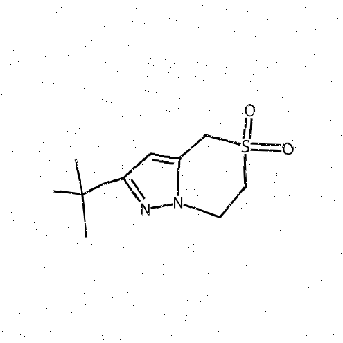 CC(C)(C)c1cc2n(n1)CCS(=O)(=O)C2